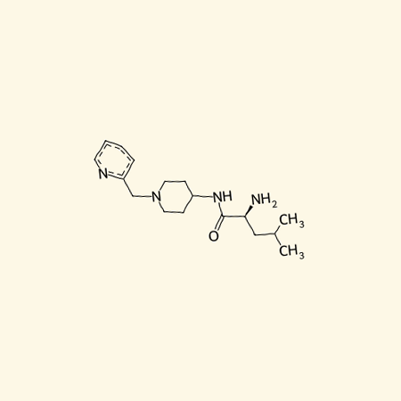 CC(C)C[C@H](N)C(=O)NC1CCN(Cc2ccccn2)CC1